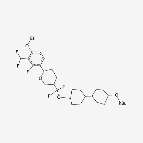 CCCCOC1CCC(C2CCC(OC(F)(F)C3CCC(c4ccc(OCC)c(C(F)F)c4F)OC3)CC2)CC1